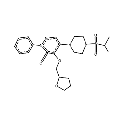 CC(C)S(=O)(=O)N1CCN(c2cnn(-c3ccccc3)c(=O)c2OCC2CCCO2)CC1